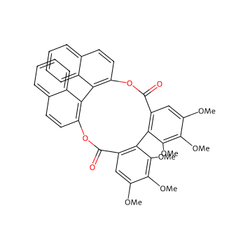 COc1cc2c(c(OC)c1OC)-c1c(cc(OC)c(OC)c1OC)C(=O)Oc1ccc3ccccc3c1-c1c(ccc3ccccc13)OC2=O